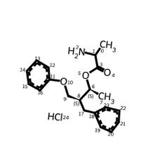 CC(N)C(=O)O[C@@H](C)[C@H](COc1ccccc1)Cc1ccccc1.Cl